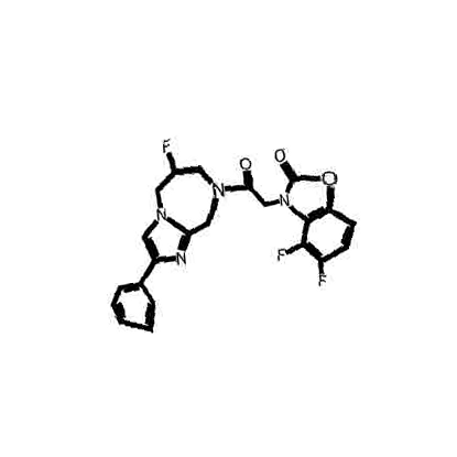 O=C(Cn1c(=O)oc2ccc(F)c(F)c21)N1Cc2nc(-c3ccccc3)cn2CC(F)C1